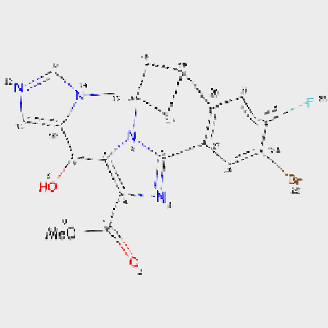 COC(=O)c1nc2n(c1C(O)c1cncn1C)C1CC(C1)c1cc(F)c(Br)cc1-2